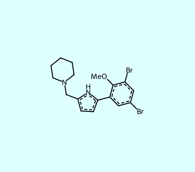 COc1c(Br)cc(Br)cc1-c1ccc(CN2CCCCC2)[nH]1